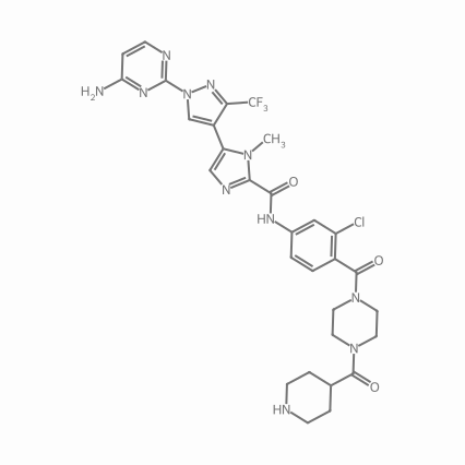 Cn1c(-c2cn(-c3nccc(N)n3)nc2C(F)(F)F)cnc1C(=O)Nc1ccc(C(=O)N2CCN(C(=O)C3CCNCC3)CC2)c(Cl)c1